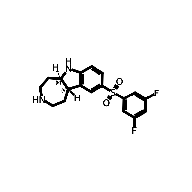 O=S(=O)(c1cc(F)cc(F)c1)c1ccc2c(c1)[C@@H]1CCNCC[C@H]1N2